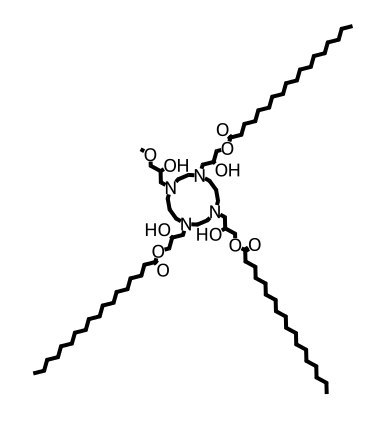 CCCCCCCCCCCCCCCCCC(=O)OCC(O)CN1CCCN(CC(O)COC(=O)CCCCCCCCCCCCCCCCC)CCN(CC(O)COC(=O)CCCCCCCCCCCCCCCCC)CCCN(CC(O)COC)CC1